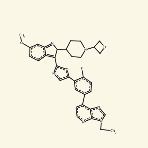 CCn1cnc2c(-c3ccc(F)c(-c4cnc(C5=c6ccc(OC)cc6=NC5C5CCN(C6COC6)CC5)o4)c3)cnnc21